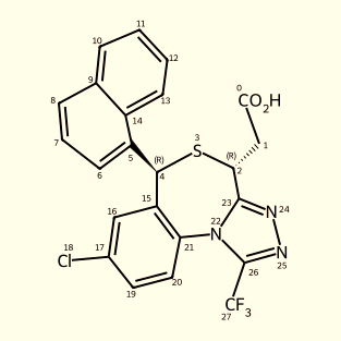 O=C(O)C[C@H]1S[C@H](c2cccc3ccccc23)c2cc(Cl)ccc2-n2c1nnc2C(F)(F)F